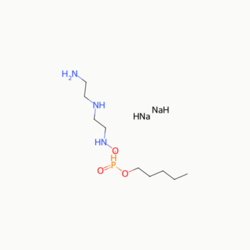 CCCCCO[PH](=O)ONCCNCCN.[NaH].[NaH]